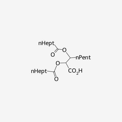 CCCCCCCC(=O)OC(CCCCC)C(OC(=O)CCCCCCC)C(=O)O